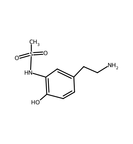 CS(=O)(=O)Nc1cc(CCN)ccc1O